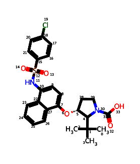 CC(C)(C)C1[C@H](Oc2ccc(NS(=O)(=O)c3ccc(Cl)cc3)c3ccccc23)CCN1C(=O)O